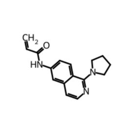 C=CC(=O)Nc1ccc2c(N3CCCC3)nccc2c1